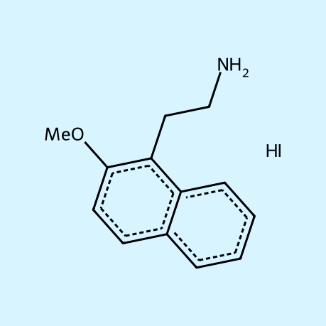 COc1ccc2ccccc2c1CCN.I